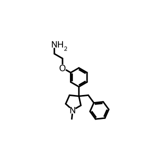 CN1CCC(Cc2ccccc2)(c2cccc(OCCN)c2)C1